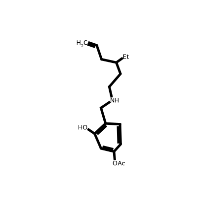 C=CCC(CC)CCNCc1ccc(OC(C)=O)cc1O